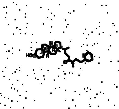 CC(CCC(=O)N(C)CCc1ccccn1)[C@H]1CC[C@H]2[C@@H]3CC=C4C[C@@H](O)CC[C@]4(C)[C@H]3CC[C@]12C